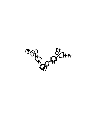 CCOC1(c2ccc(-c3cc4c(N5CCN(C(=O)OC6(C)COC6)CC5)ccnn4c3)nc2)CCN(C(C)C)CC1